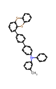 Cc1cccc(N(c2ccccc2)c2ccc(-c3ccc(-c4cccc5c4Sc4ccccc4S5)cc3)cc2)c1